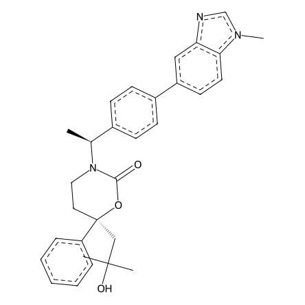 C[C@@H](c1ccc(-c2ccc3c(c2)ncn3C)cc1)N1CC[C@](CC(C)(C)O)(c2ccccc2)OC1=O